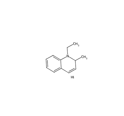 CCN1c2ccccc2C=CC1C.I